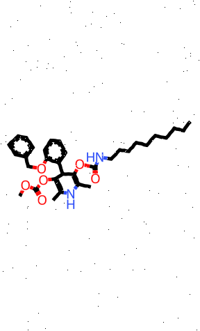 CCCCCCCCCCNC(=O)OC1=C(C)NC(C)=C(OC(=O)OC)C1c1ccccc1OCc1ccccc1